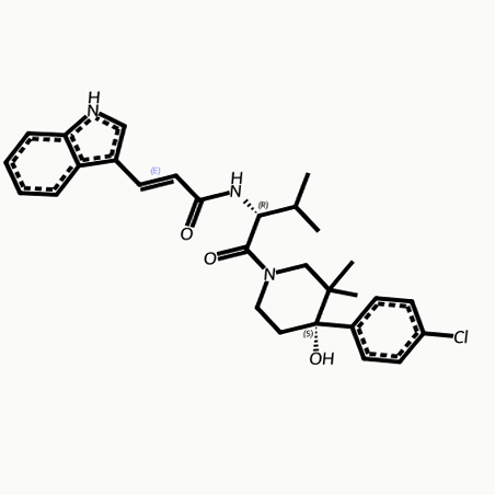 CC(C)[C@@H](NC(=O)/C=C/c1c[nH]c2ccccc12)C(=O)N1CC[C@](O)(c2ccc(Cl)cc2)C(C)(C)C1